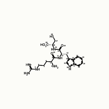 N=C(N)NCCC[C@H](N)C(=O)N[C@@H](Cc1c[nH]c2ccccc12)C(=O)N[C@@H](CS)C(=O)O